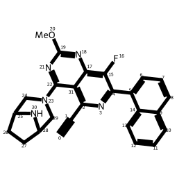 C#Cc1nc(-c2cccc3ccccc23)c(F)c2nc(OC)nc(N3CC4CCC(C3)N4)c12